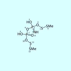 CSSOP(=N)(O)OP(=O)(O)OSSC